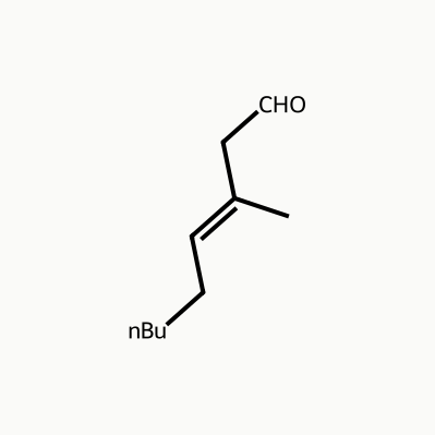 CCCCC/C=C(\C)CC=O